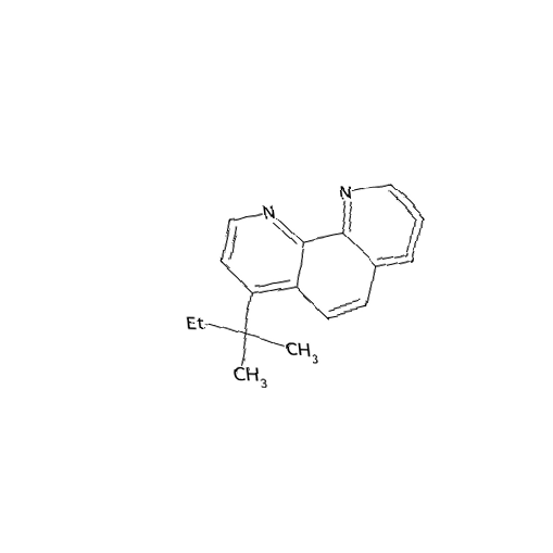 CCC(C)(C)c1ccnc2c3c(ccc12)=C=C=CN=3